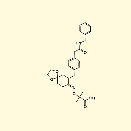 CC(C)(O/N=C1\CCC2(CC1Cc1ccc(CC(=O)NCc3ccccc3)cc1)OCCO2)C(=O)O